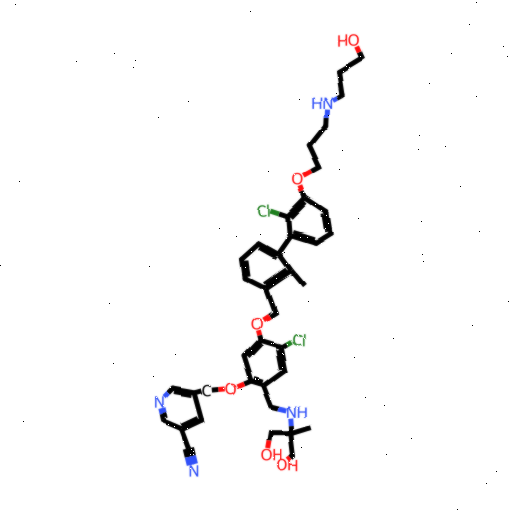 Cc1c(COc2cc(OCc3cncc(C#N)c3)c(CNC(C)(CO)CO)cc2Cl)cccc1-c1cccc(OCCCNCCCO)c1Cl